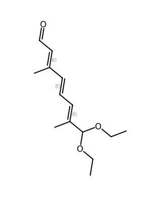 CCOC(OCC)/C(C)=C/C=C/C(C)=C/C=O